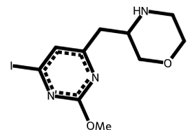 COc1nc(I)cc(CC2COCCN2)n1